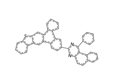 c1ccc(-c2nc(-c3ccc4c(c3)c3ccccc3c3cc5sc6ccccc6c5cc43)nc3ccc4ccccc4c23)cc1